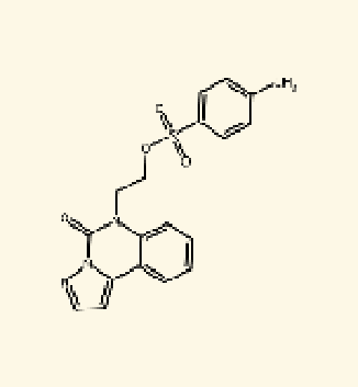 Cc1ccc(S(=O)(=O)OCCn2c(=O)n3nccc3c3ccccc32)cc1